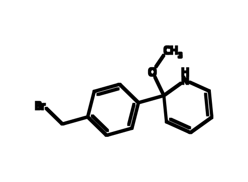 COC1(c2ccc(CBr)cc2)C=CC=CN1